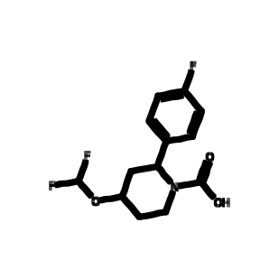 O=C(O)N1CCC(OC(F)F)CC1c1ccc(F)cc1